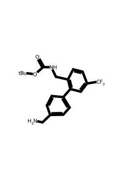 CC(C)(C)OC(=O)NCc1ccc(C(F)(F)F)cc1-c1ccc(CN)cc1